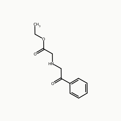 CCOC(=O)CNCC(=O)c1ccccc1